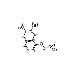 O[C@@H]1Cc2cccc(OC[C@@H]3CO3)c2C[C@@H]1O